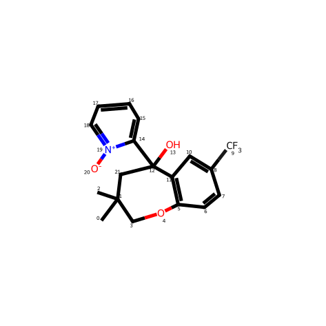 CC1(C)COc2ccc(C(F)(F)F)cc2C(O)(c2cccc[n+]2[O-])C1